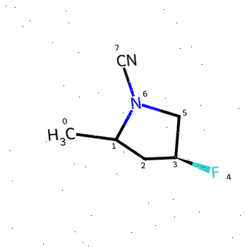 CC1C[C@H](F)CN1C#N